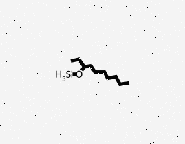 CCCCCCCC(CC)O[SiH3]